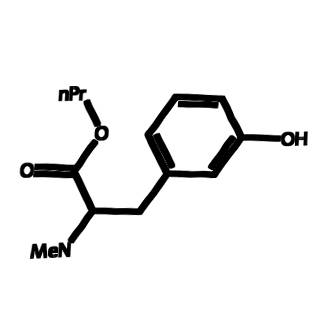 CCCOC(=O)C(Cc1cccc(O)c1)NC